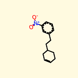 O=[N+]([O-])c1cccc(CCC2CC=CCC2)c1